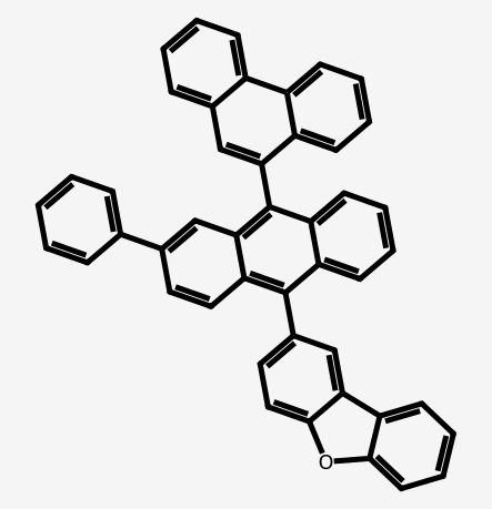 c1ccc(-c2ccc3c(-c4ccc5oc6ccccc6c5c4)c4ccccc4c(-c4cc5ccccc5c5ccccc45)c3c2)cc1